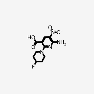 Nc1nc(N2CCC(F)CC2)c(C(=O)O)cc1[N+](=O)[O-]